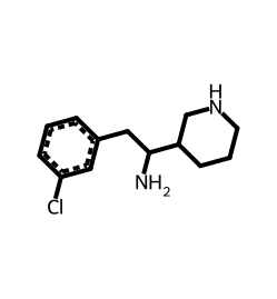 NC(Cc1cccc(Cl)c1)C1CCCNC1